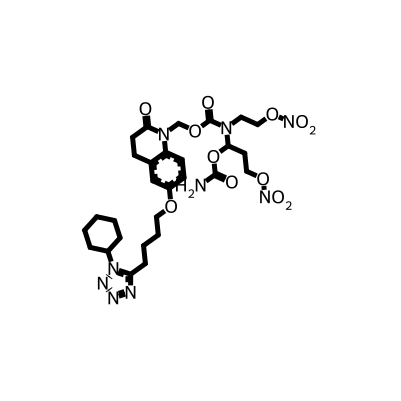 NC(=O)OC(CCO[N+](=O)[O-])N(CCO[N+](=O)[O-])C(=O)OCN1C(=O)CCc2cc(OCCCCc3nnnn3C3CCCCC3)ccc21